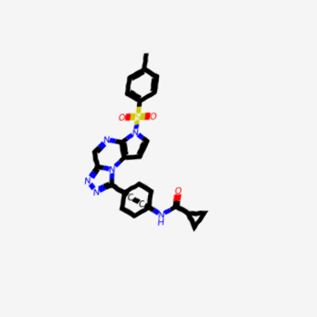 Cc1ccc(S(=O)(=O)n2ccc3c2ncc2nnc(C45CCC(NC(=O)C6CC6)(CC4)CC5)n23)cc1